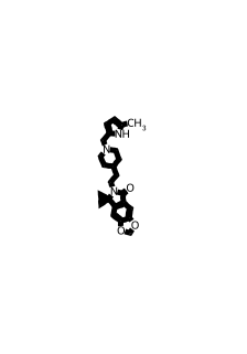 Cc1ccc(CN2CCC(CCN3C(=O)c4cc5c(cc4C34CC4)OCO5)CC2)[nH]1